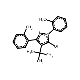 Cc1ccccc1-c1nn(-c2ccccc2C)c(O)c1C(C)(C)C